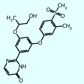 Cc1cc(Oc2cc(OC(C)CO)cc(-c3nccc(=O)[nH]3)c2)ccc1S(C)(=O)=O